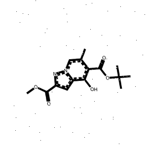 COC(=O)c1cc2c(O)c(C(=O)OC(C)(C)C)c(C)cn2n1